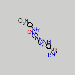 O=C(Nc1ccc([N+](=O)[O-])cc1)N1CCN(c2ccnc(Nc3ccc(C4CNCCO4)cc3)n2)CC1